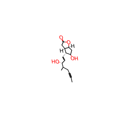 CC#CCC(C)[C@H](O)/C=C/[C@@H]1[C@H]2CC(=O)O[C@H]2C[C@H]1O